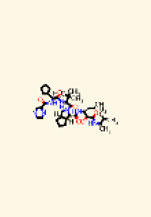 CCC[C@H](NC(=O)[C@@H]1[C@H]2CCC[C@H]2CN1C(=O)[C@@H](NC(=O)[C@@H](NC(=O)c1cnccn1)C1CCCC1)C(C)(C)C)C(=O)C(=O)N[C@@H](C)C(C)C